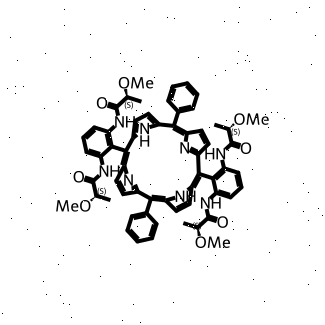 CO[C@@H](C)C(=O)Nc1cccc(NC(=O)[C@H](C)OC)c1-c1c2nc(c(-c3ccccc3)c3ccc([nH]3)c(-c3c(NC(=O)[C@H](C)OC)cccc3NC(=O)[C@H](C)OC)c3nc(c(-c4ccccc4)c4ccc1[nH]4)C=C3)C=C2